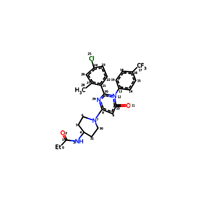 CCC(=O)NC1CCN(c2cc(=O)n(-c3ccc(C(F)(F)F)cc3)c(-c3ccc(Cl)cc3C)n2)CC1